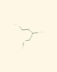 CNC(CCOC)COC(C)C